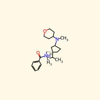 CC(C)[C@]1(CNC(=O)c2ccccc2)CCC(N(C)C2CCOCC2)C1